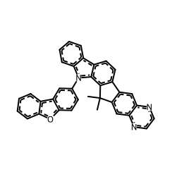 CC1(C)c2cc3nccnc3cc2-c2ccc3c4ccccc4n(-c4ccc5oc6ccccc6c5c4)c3c21